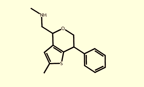 CNCC1OCC(c2ccccc2)c2sc(C)cc21